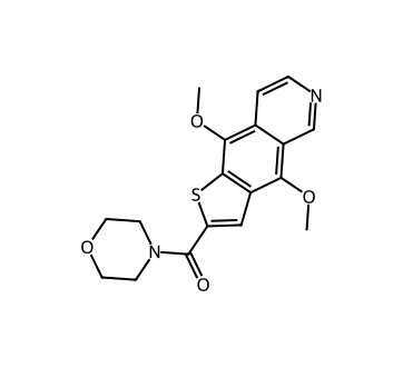 COc1c2cnccc2c(OC)c2sc(C(=O)N3CCOCC3)cc12